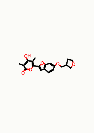 Cc1c(-c2cc3ccc(OCC4CCOC4)cc3o2)oc(=O)c(C)c1O